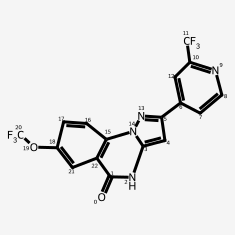 O=c1[nH]c2cc(-c3ccnc(C(F)(F)F)c3)nn2c2ccc(OC(F)(F)F)cc12